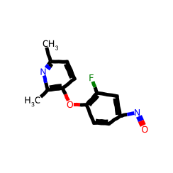 Cc1ccc(Oc2ccc(N=O)cc2F)c(C)n1